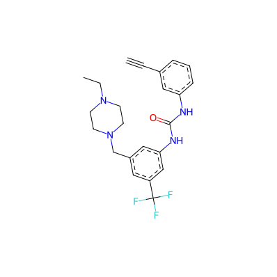 C#Cc1cccc(NC(=O)Nc2cc(CN3CCN(CC)CC3)cc(C(F)(F)F)c2)c1